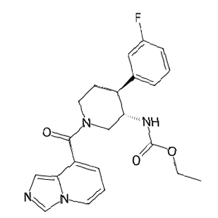 CCOC(=O)N[C@@H]1CN(C(=O)c2cccn3cncc23)CC[C@H]1c1cccc(F)c1